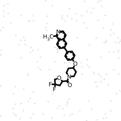 Cc1nccc2cc(-c3ccc(OC4CCN(C(=O)C5CC(F)(F)CO5)CC4)cc3)ccc12